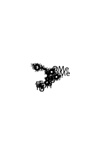 COc1cc2c(-c3cc4cccnc4n3S(=O)(=O)c3ccc(C)cc3)cn(CCCN3CCCN(C)CC3)c2cc1OC.O=C(O)C(F)(F)F